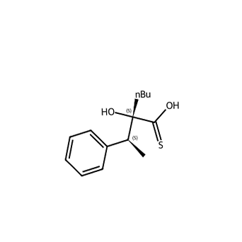 CCCC[C@@](O)(C(O)=S)[C@@H](C)c1ccccc1